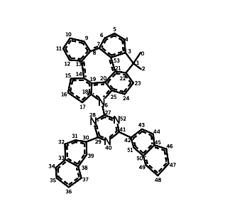 CC1(C)c2cccc3c4ccccc4c4cccc5c4c4c(c1ccc4n5-c1nc(-c4ccc5ccccc5c4)nc(-c4ccc5ccccc5c4)n1)c23